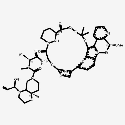 C=CC(O)N1CCO[C@@H]2CCN(C(=O)N(C)[C@H](C(=O)N[C@H]3Cc4nc(cs4)-c4ccc5c(c4)c(c(-c4cccnc4[C@H](C)OC)n5CC)CC(C)(C)COC(=O)[C@@]4(O)CCCN(N4)C3=O)C(C)C)CC21